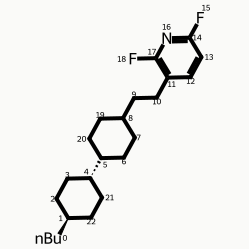 CCCC[C@H]1CC[C@H](C2CCC(CCc3ccc(F)nc3F)CC2)CC1